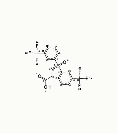 O=C(O)CN=S(=O)(c1cccc(C(F)(F)F)c1)c1cccc(C(F)(F)F)c1